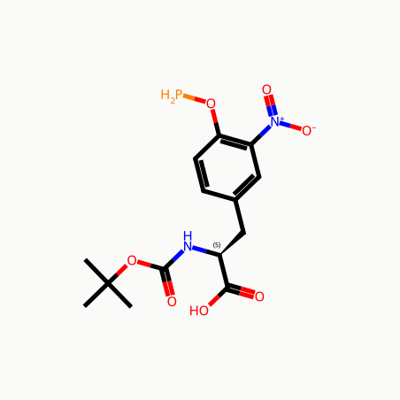 CC(C)(C)OC(=O)N[C@@H](Cc1ccc(OP)c([N+](=O)[O-])c1)C(=O)O